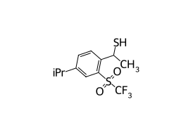 CC(C)c1ccc(C(C)S)c(S(=O)(=O)C(F)(F)F)c1